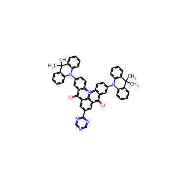 CC1(C)c2ccccc2N(c2ccc3c(c2)c(=O)c2cc(-c4ncncn4)cc4c(=O)c5cc(N6c7ccccc7C(C)(C)c7ccccc76)ccc5n3c24)c2ccccc21